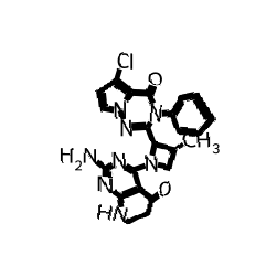 C[C@H]1CN(c2nc(N)nc3c2C(=O)CCN3)C1c1nn2ccc(Cl)c2c(=O)n1-c1ccccc1